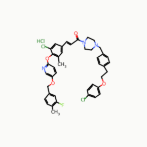 Cc1ccc(COc2ccc(Oc3c(C)cc(C=CC(=O)N4CCN(Cc5ccc(CCOc6ccc(Cl)cc6)cc5)CC4)cc3Cl)nc2)cc1F.Cl